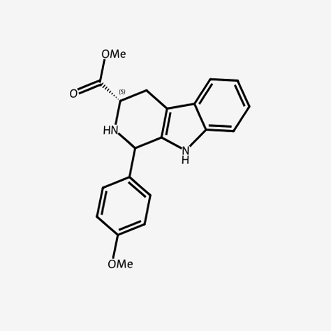 COC(=O)[C@@H]1Cc2c([nH]c3ccccc23)C(c2ccc(OC)cc2)N1